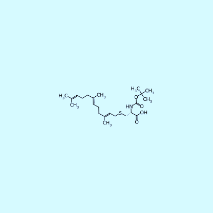 CC(C)=CCCC(C)=CCCC(C)=CCSC[C@H](NC(=O)OC(C)(C)C)C(=O)O